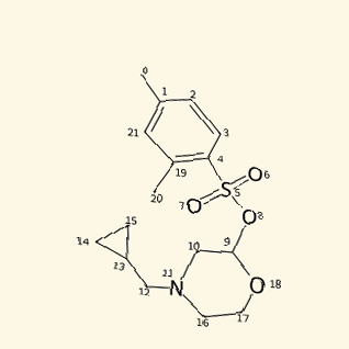 Cc1ccc(S(=O)(=O)OC2CN(CC3CC3)CCO2)c(C)c1